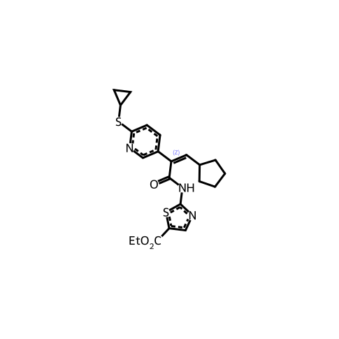 CCOC(=O)c1cnc(NC(=O)/C(=C\C2CCCC2)c2ccc(SC3CC3)nc2)s1